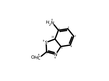 NC1=CC=CC2N=C(C=O)SC12